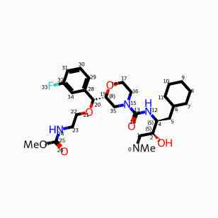 CNC[C@H](O)[C@H](CC1CCCCC1)NC(=O)N1CCO[C@@H](C(OCCNC(=O)OC)c2cccc(F)c2)C1